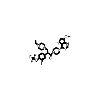 CCN1CCN(CC(C(=O)N2CCN(c3ncnc4c3[C@H](C)C[C@H]4O)CC2)c2ccc(OC(F)(F)F)c(F)c2)CC1